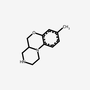 Cc1ccc2c(c1)OCC1CNCCN21